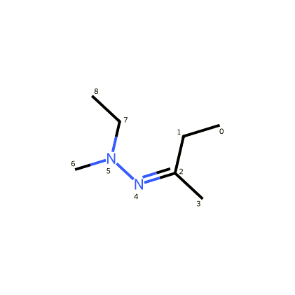 CC/C(C)=N\N(C)CC